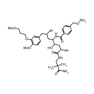 COCCCOc1cc(CC(CC(NC(=O)c2ccc(CO[N+](=O)[O-])cc2)C(O)CC(C(=O)NCC(C)(C)C(N)=O)C(C)C)C(C)C)ccc1OC